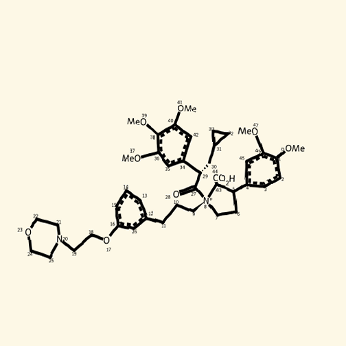 COc1ccc(C2CC[N@+](CCCc3cccc(OCCN4CCOCC4)c3)(C(=O)[C@@H](CC3CC3)c3cc(OC)c(OC)c(OC)c3)[C@H]2C(=O)O)cc1OC